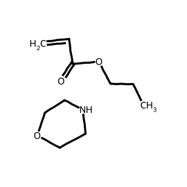 C1COCCN1.C=CC(=O)OCCC